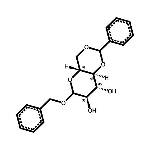 O[C@H]1[C@@H]2OC(c3ccccc3)OC[C@H]2OC(OCc2ccccc2)[C@@H]1O